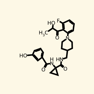 CC(O)C(=O)c1c(F)cccc1N1CCC(CNC(=O)C2(NC(=O)c3cccc(O)c3)CC2)CC1